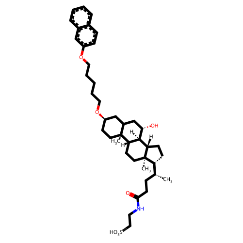 C[C@H](CCC(=O)NCCS(=O)(=O)O)[C@H]1CC[C@H]2[C@@H]3[C@@H](O)CC4C[C@H](OCCCCCOc5ccc6ccccc6c5)CC[C@]4(C)[C@H]3CC[C@]12C